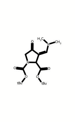 CN(C)C=C1C(=O)CN(C(=O)OC(C)(C)C)C1C(=O)OC(C)(C)C